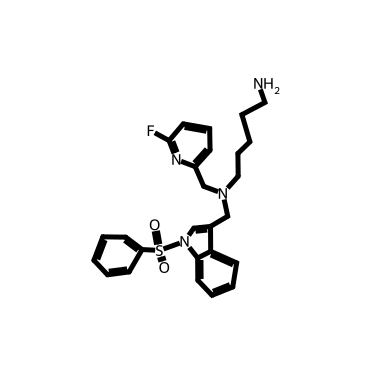 NCCCCCN(Cc1cccc(F)n1)Cc1cn(S(=O)(=O)c2ccccc2)c2ccccc12